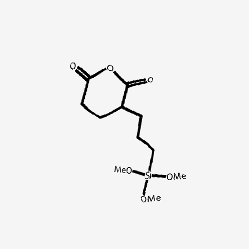 CO[Si](CCCC1CCC(=O)OC1=O)(OC)OC